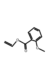 C=COC(=O)c1ccccc1OC